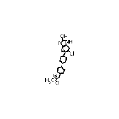 CS(=O)(=O)Cc1ccc(-c2ccc(-c3nc4nc(O)[nH]c4cc3Cl)cc2)cc1